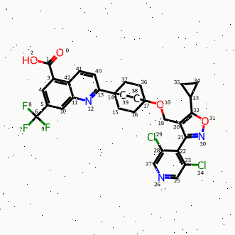 O=C(O)c1cc(C(F)(F)F)cc2nc(C34CCC(OCc5c(-c6c(Cl)cncc6Cl)noc5C5CC5)(CC3)CC4)ccc12